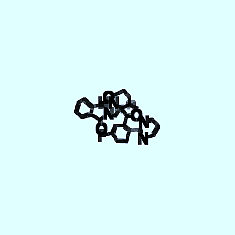 C[C@@H]1CCCN[C@@]1(CN1C(=O)c2ccccc2C1=O)C(=O)c1cc(F)ccc1-c1ncccn1